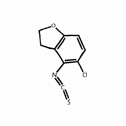 S=C=Nc1c(Cl)ccc2c1CCO2